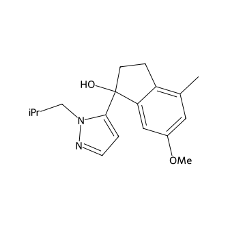 COc1cc(C)c2c(c1)C(O)(c1ccnn1CC(C)C)CC2